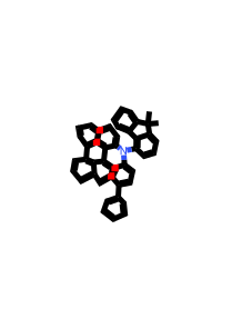 CC1(C)c2ccccc2-c2c(N(c3ccc(-c4ccccc4)cc3)c3ccccc3-c3cccc4cccc(-c5ccccc5)c34)cccc21